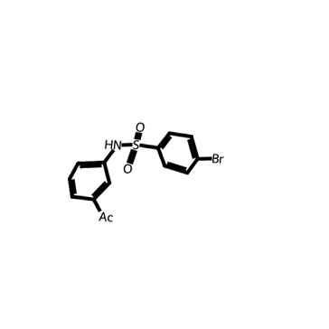 CC(=O)c1cccc(NS(=O)(=O)c2ccc(Br)cc2)c1